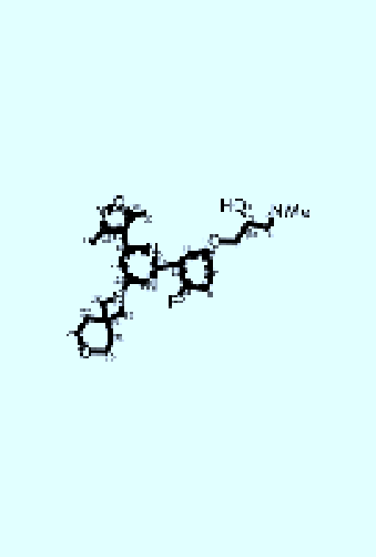 CNC[C@@H](O)COc1ccc(F)c(-c2nc(-c3c(C)noc3C)cc(N3CC4(CCOCC4)C3)n2)c1